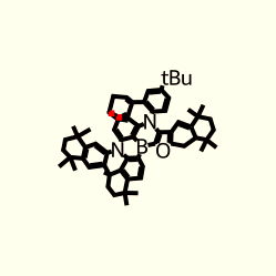 Cc1cc2c3c(c1)N1c4cc5c(cc4C4(C)CCC(C)(C)c6ccc(c1c64)B3c1oc3c(c1N2c1ccc(C(C)(C)C)cc1C1=CCCC=C1)C=C1C(C3)C(C)(C)CCC1(C)C)C(C)(C)CCC5(C)C